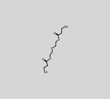 O=C(CCS)OCCOCCOC(=O)CCS